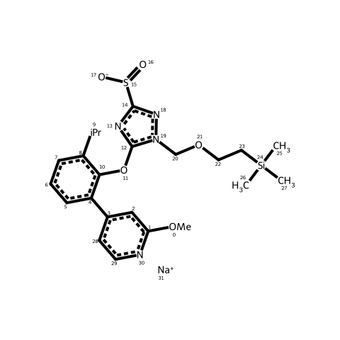 COc1cc(-c2cccc(C(C)C)c2Oc2nc(S(=O)[O-])nn2COCC[Si](C)(C)C)ccn1.[Na+]